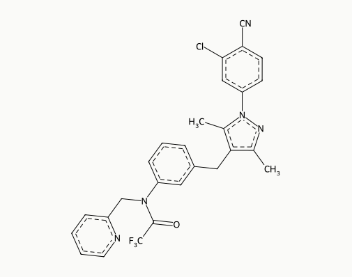 Cc1nn(-c2ccc(C#N)c(Cl)c2)c(C)c1Cc1cccc(N(Cc2ccccn2)C(=O)C(F)(F)F)c1